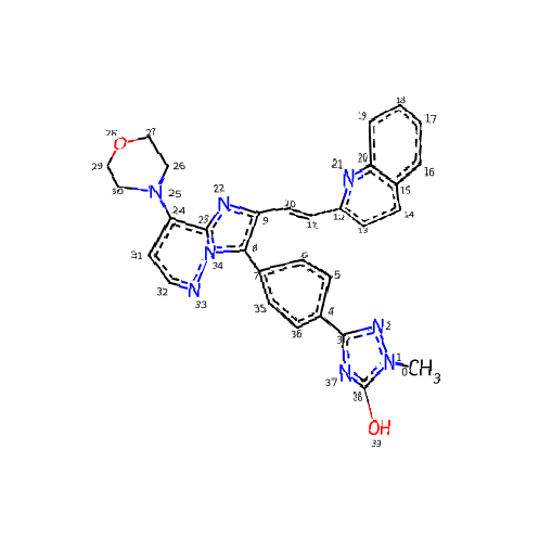 Cn1nc(-c2ccc(-c3c(C=Cc4ccc5ccccc5n4)nc4c(N5CCOCC5)ccnn34)cc2)nc1O